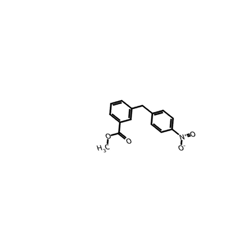 COC(=O)c1cccc(Cc2ccc([N+](=O)[O-])cc2)c1